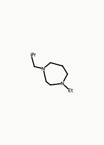 CCN1CCCN(CC(C)C)CC1